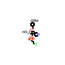 COc1ccc(CO[C@](Cc2cccnc2)(C(=O)O)C(C)(C)COS(=O)(=O)CCCCl)cc1